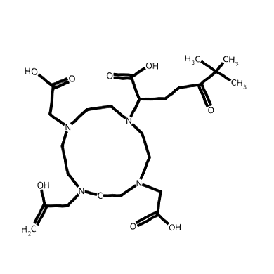 C=C(O)CN1CCN(CC(=O)O)CCN(C(CCC(=O)C(C)(C)C)C(=O)O)CCN(CC(=O)O)CC1